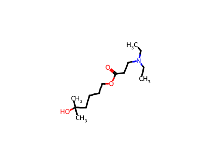 CCN(CC)CCC(=O)OCCCCC(C)(C)O